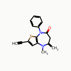 C#Cc1cc2c(s1)N(c1ccccc1)C(=O)CC(=C)N2C